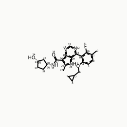 Cc1ccc(OCC2CC2)c(-c2ncnc3c(C(=O)N[C@@H]4CC[C@H](O)C4)c(C)[nH]c23)c1F